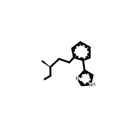 [CH2]C[C@@H](C)CCc1ccccc1-c1c[nH]cn1